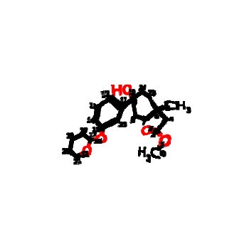 COC(=O)CC1(C)CCC(O)(c2cccc(OC3CCCCO3)c2)CC1